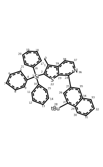 Cc1c([Si](c2ccccc2)(c2ccccc2)c2ccccc2)sc2c(-c3cc(C(C)(C)C)c4ccccc4c3)nccc12